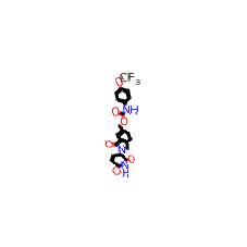 O=C1CCC(N2Cc3ccc(COC(=O)Nc4ccc(OC(F)(F)F)cc4)cc3C2=O)C(=O)N1